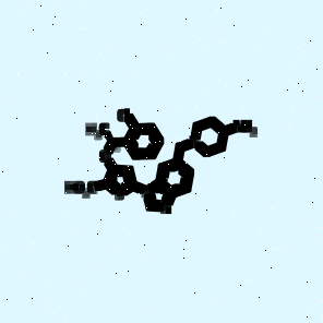 C[C@@H](Oc1cc(-n2cnc3ccc(CN4CCC(N)CC4)cc32)sc1C(=O)O)c1ccccc1Cl